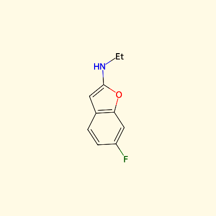 CCNc1cc2ccc(F)cc2o1